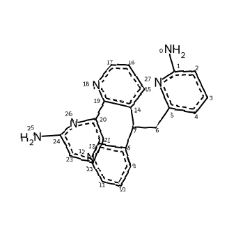 Nc1cccc(CC(c2cccnc2)c2cccnc2-c2cccc(N)n2)n1